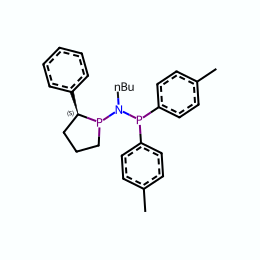 CCCCN(P(c1ccc(C)cc1)c1ccc(C)cc1)P1CCC[C@H]1c1ccccc1